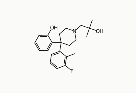 Cc1c(F)cccc1C1(c2cc[c]cc2O)CCN(CC(C)(C)O)CC1